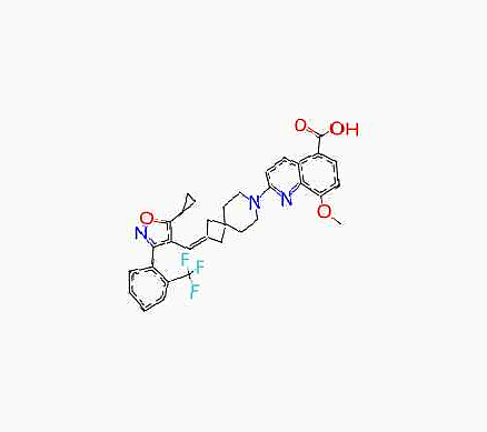 COc1ccc(C(=O)O)c2ccc(N3CCC4(CC3)CC(=Cc3c(-c5ccccc5C(F)(F)F)noc3C3CC3)C4)nc12